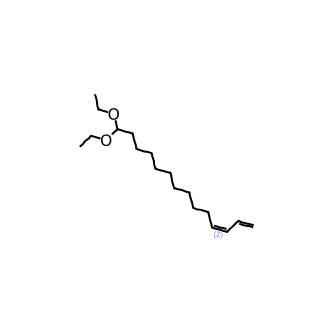 C=C/C=C\CCCCCCCCCC(OCC)OCC